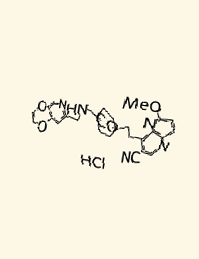 COc1ccc2ncc(C#N)c(CCC34CCC(NCc5cc6c(cn5)OCCO6)(CC3)CO4)c2n1.Cl